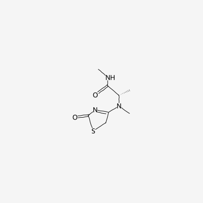 CNC(=O)[C@H](C)N(C)C1=NC(=O)SC1